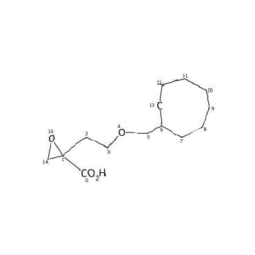 O=C(O)C1(CCOCC2CCCCCCC2)CO1